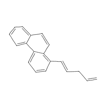 C=CCC=Cc1cccc2c1ccc1ccccc12